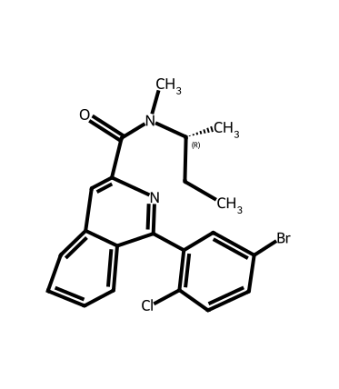 CC[C@@H](C)N(C)C(=O)c1cc2ccccc2c(-c2cc(Br)ccc2Cl)n1